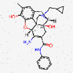 Cc1cc2c3c(c1O)O[C@H]1C(N)=C(C(=O)Nc4ccccc4)C[C@@]4(O)[C@@H](C2)N(CC2CC2)CC[C@]314